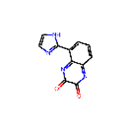 O=C1N=c2cccc(-c3ncc[nH]3)c2=NC1=O